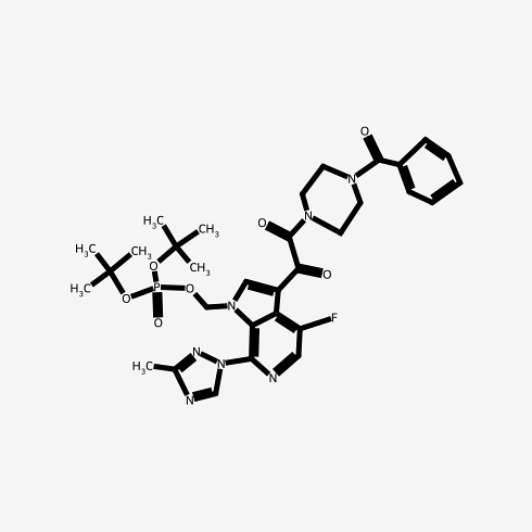 Cc1ncn(-c2ncc(F)c3c(C(=O)C(=O)N4CCN(C(=O)c5ccccc5)CC4)cn(COP(=O)(OC(C)(C)C)OC(C)(C)C)c23)n1